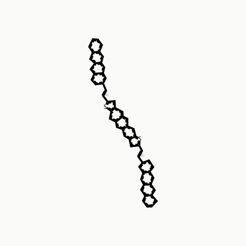 C(=C\c1cc2cc3cc4cc5sc(/C=C/c6ccc7cc8cc9ccccc9cc8cc7c6)cc5cc4cc3cc2s1)/c1ccc2cc3cc4ccccc4cc3cc2c1